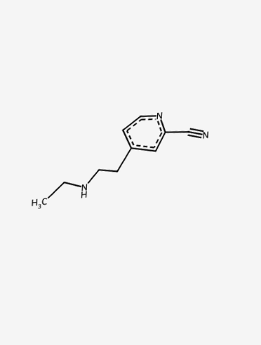 CCNCCc1ccnc(C#N)c1